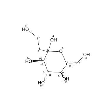 OCCC1(O)O[C@H](CO)[C@@H](O)[C@H](O)[C@H]1O